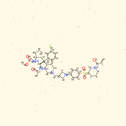 C=CC(=O)N1CCC[C@@H](S(=O)(=O)c2ccc(N3CC(CN4CCC([C@@](CNC(C)=O)(c5cccc(F)c5)[C@H]5CCC[C@@H]5NC(=O)OC)CC4)C3)cc2)C1